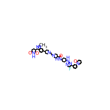 Cn1nc(C2CCC(=O)NC2=O)c2ccc(C3CCN(CCN4CCC(C(=O)NC5CCC(Nc6ncc(F)c(-c7cccc(-n8ccccc8=O)c7)n6)CC5)CC4)CC3)cc21